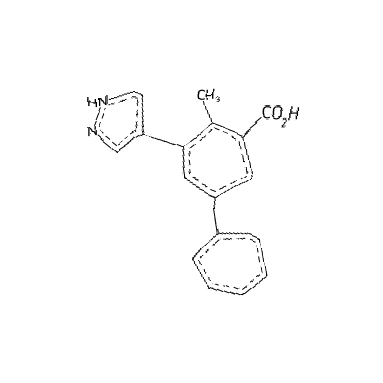 Cc1c(C(=O)O)cc(-c2ccccc2)cc1-c1cn[nH]c1